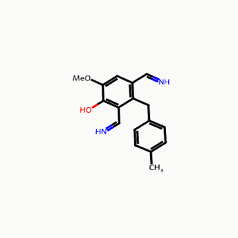 COc1cc(C=N)c(Cc2ccc(C)cc2)c(C=N)c1O